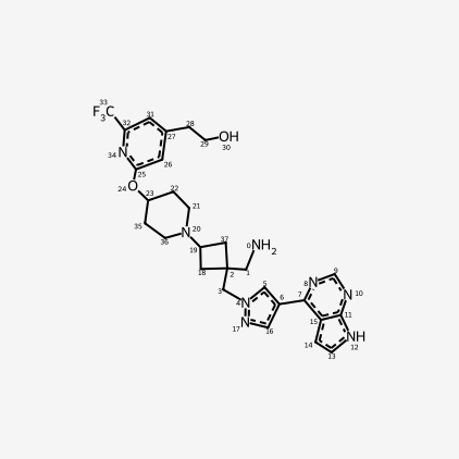 NCC1(Cn2cc(-c3ncnc4[nH]ccc34)cn2)CC(N2CCC(Oc3cc(CCO)cc(C(F)(F)F)n3)CC2)C1